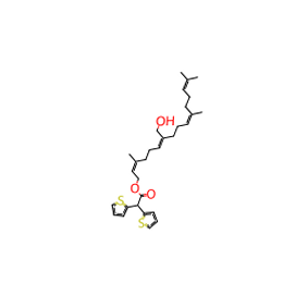 CC(C)=CCCC(C)=CCCC(=CCCC(C)=CCOC(=O)C(c1cccs1)c1cccs1)CO